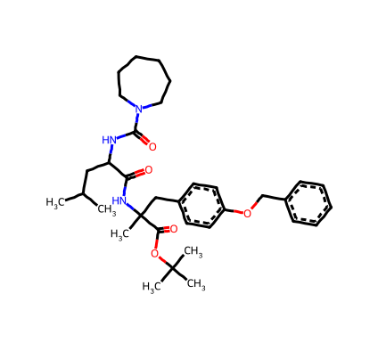 CC(C)CC(NC(=O)N1CCCCCC1)C(=O)NC(C)(Cc1ccc(OCc2ccccc2)cc1)C(=O)OC(C)(C)C